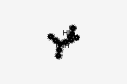 C1=C(c2ccccc2)c2c(ccc3c(-c4ccc(C5N=C(c6ccc(-c7ccccc7)cc6)N=C(c6ccc(-c7ccccc7)cc6)N5)cc4)cccc23)NC1c1ccccc1